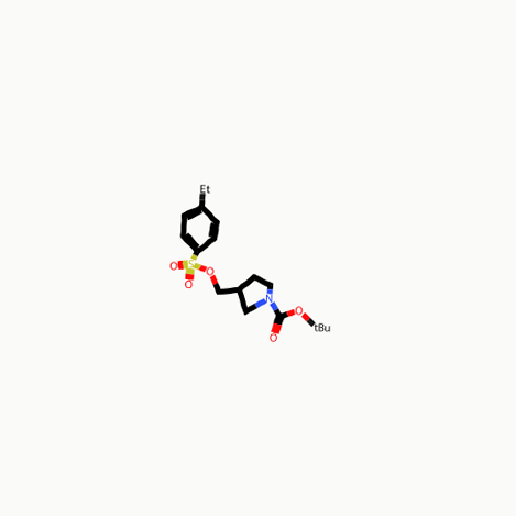 CCc1ccc(S(=O)(=O)OCC2CCN(C(=O)OC(C)(C)C)C2)cc1